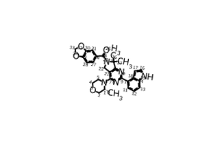 C[C@@H]1COCCN1c1nc(-c2cccc3[nH]ccc23)nc2c1CN(C(=O)c1ccc3c(c1)OCO3)C2(C)C